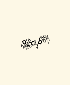 CN1CCc2cc(Nc3ncc4c(n3)OC(C)(C)N(c3c(Cl)cccc3Cl)C4=O)ccc2C1(C)C